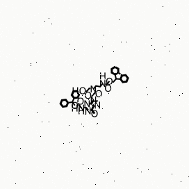 O=C(O)CN(CCNC(=O)OCC1c2ccccc2-c2ccccc21)C(=O)Cn1cnc2c(=O)[nH]c(NC(=O)OC(c3ccccc3)c3ccccc3)nc21